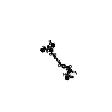 Cc1cc(CCNc2ccccc2C(=O)O)c2oc(N3CCN(C(=O)CCOCCOCCNC(=O)c4cnc(Nc5ccccc5C)c(NC(=O)c5csc6ccccc56)c4)CC3)cc(=O)c2c1